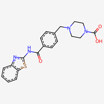 O=C(Nc1nc2ccccc2s1)c1ccc(CN2CCN(C(=O)O)CC2)cc1